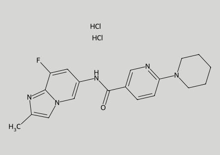 Cc1cn2cc(NC(=O)c3ccc(N4CCCCC4)nc3)cc(F)c2n1.Cl.Cl